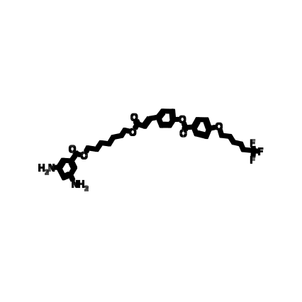 Nc1cc(N)cc(C(=O)OCCCCCCCOC(=O)C=Cc2ccc(OC(=O)c3ccc(OCCCCCC(F)(F)F)cc3)cc2)c1